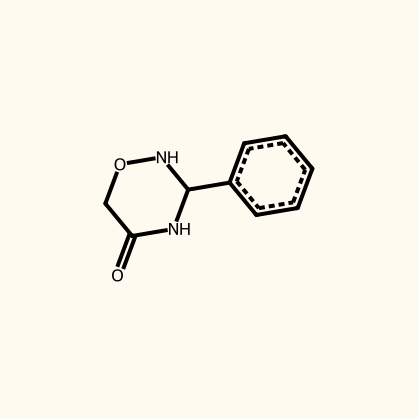 O=C1CONC(c2ccccc2)N1